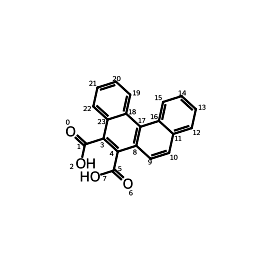 O=C(O)c1c(C(=O)O)c2ccc3ccccc3c2c2ccccc12